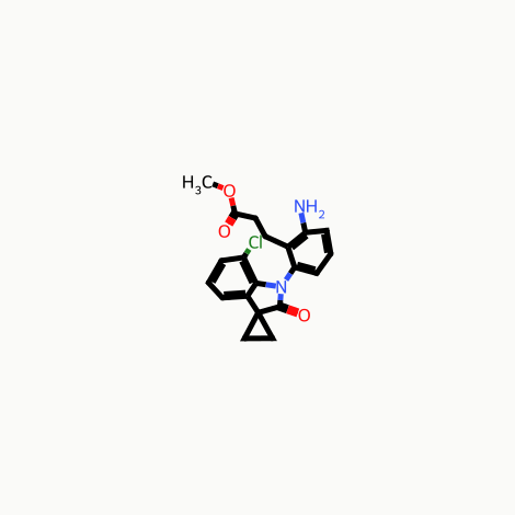 COC(=O)CCc1c(N)cccc1N1C(=O)C2(CC2)c2cccc(Cl)c21